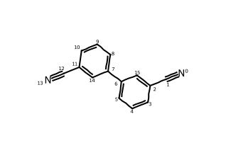 N#Cc1cccc(-c2cccc(C#N)c2)c1